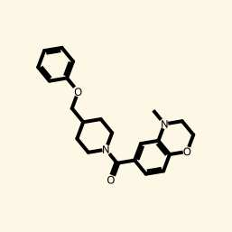 CN1CCOc2ccc(C(=O)N3CCC(COc4ccccc4)CC3)cc21